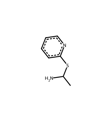 CC(N)Sc1ccccn1